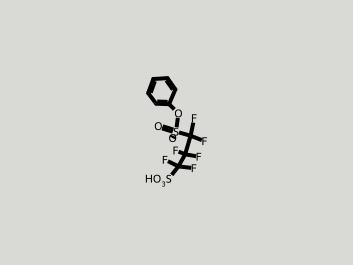 O=S(=O)(O)C(F)(F)C(F)(F)C(F)(F)S(=O)(=O)Oc1ccccc1